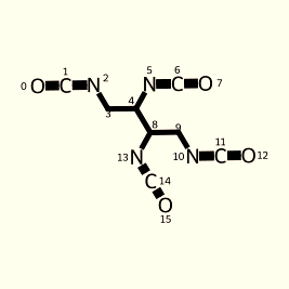 O=C=NCC(N=C=O)C(CN=C=O)N=C=O